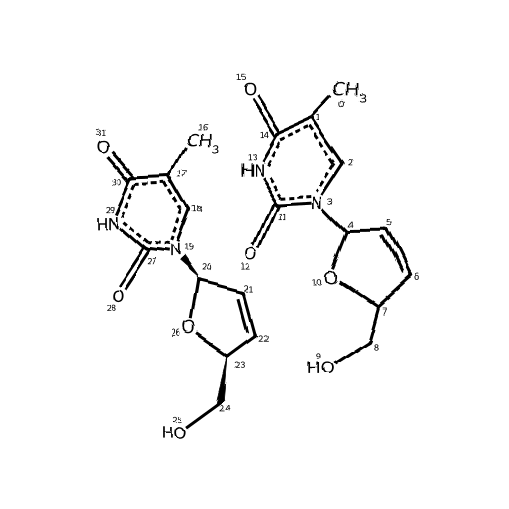 Cc1cn(C2C=CC(CO)O2)c(=O)[nH]c1=O.Cc1cn([C@H]2C=C[C@@H](CO)O2)c(=O)[nH]c1=O